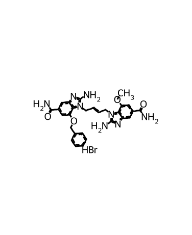 Br.COc1cc(C(N)=O)cc2nc(N)n(C/C=C/Cn3c(N)nc4cc(C(N)=O)cc(OCc5ccccc5)c43)c12